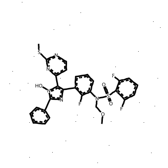 COCN(c1cccc(-c2nc(-c3ccccc3)n(O)c2-c2ccnc(SC)n2)c1F)S(=O)(=O)c1c(F)cccc1F